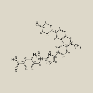 CN(Cc1ccc(C2CCC(=O)CC2)cc1)c1ccc(-c2csc(N(C)Cc3ccc(C(=O)O)cc3)n2)cc1